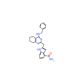 NC(=O)c1cccc2[nH]c(Cc3nc4c(c(NCc5ccccc5)n3)CCCC4)cc12